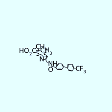 CC(C)(Sc1nc(CNC(=O)c2ccc(-c3ccc(C(F)(F)F)cc3)cc2)cs1)C(=O)O